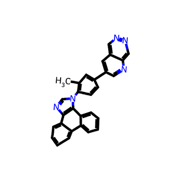 Cc1cc(-c2cnc3cnncc3c2)ccc1-n1cnc2c3ccccc3c3ccccc3c21